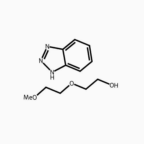 COCCOCCO.c1ccc2[nH]nnc2c1